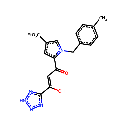 CCOC(=O)c1cc(C(=O)C=C(O)c2nn[nH]n2)n(Cc2ccc(C)cc2)c1